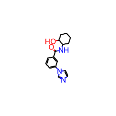 O=C(NC1CCCCC1O)c1cccc(-n2ccnc2)c1